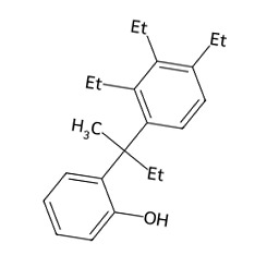 CCc1ccc(C(C)(CC)c2ccccc2O)c(CC)c1CC